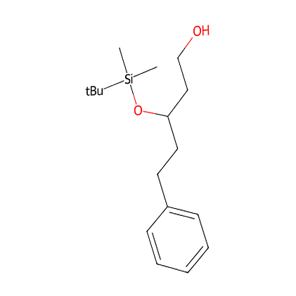 CC(C)(C)[Si](C)(C)OC(CCO)CCc1ccccc1